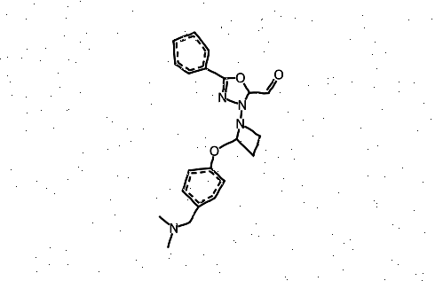 CN(C)Cc1ccc(OC2CCN2N2N=C(c3ccccc3)OC2C=O)cc1